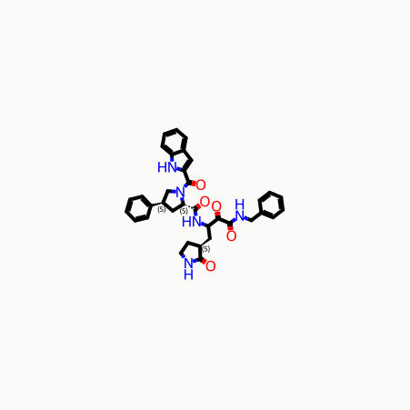 O=C(NCc1ccccc1)C(=O)C(C[C@@H]1CCNC1=O)NC(=O)[C@@H]1C[C@@H](c2ccccc2)CN1C(=O)c1cc2ccccc2[nH]1